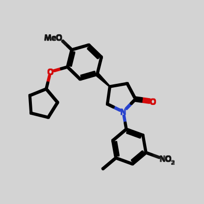 COc1ccc([C@H]2CC(=O)N(c3cc(C)cc([N+](=O)[O-])c3)C2)cc1OC1CCCC1